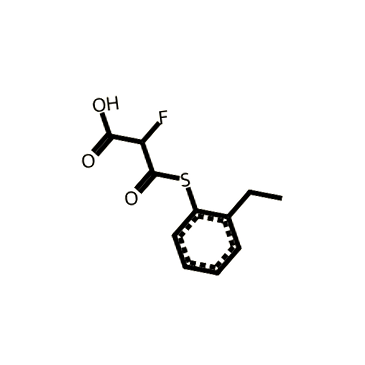 CCc1ccccc1SC(=O)C(F)C(=O)O